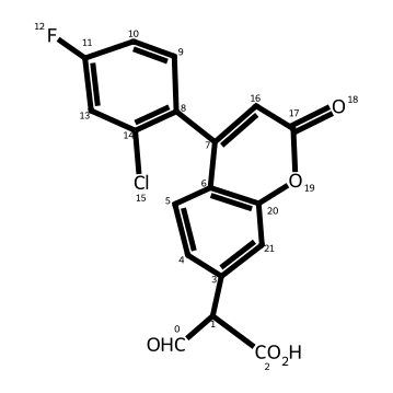 O=CC(C(=O)O)c1ccc2c(-c3ccc(F)cc3Cl)cc(=O)oc2c1